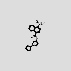 O=C(NC1CCN(C2CCCC2)C1)c1ccc([N+](=O)[O-])c2ccccc12